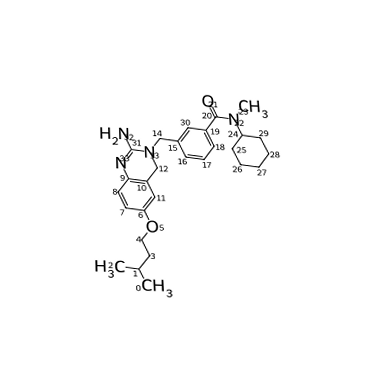 CC(C)CCOc1ccc2c(c1)CN(Cc1cccc(C(=O)N(C)C3CCCCC3)c1)C(N)=N2